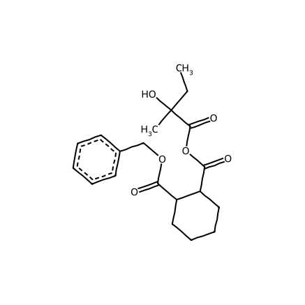 CCC(C)(O)C(=O)OC(=O)C1CCCCC1C(=O)OCc1ccccc1